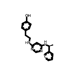 C[C@H](Nc1cc(NCCc2ccc(O)cc2)ncn1)c1ccccc1